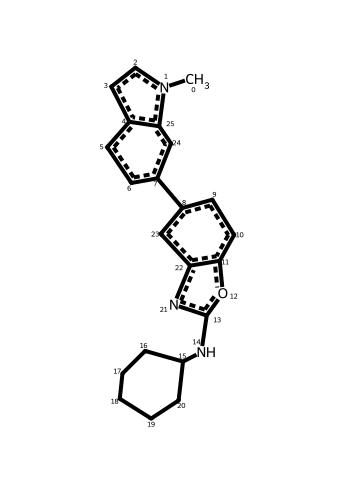 Cn1ccc2ccc(-c3ccc4oc(NC5CCCCC5)nc4c3)cc21